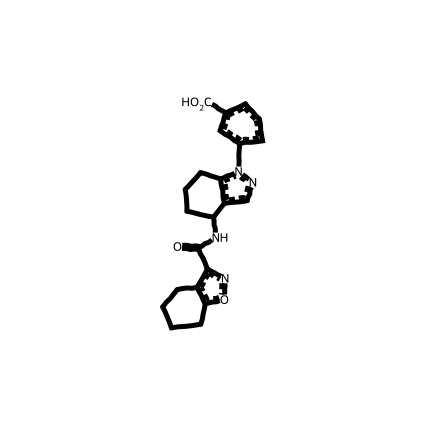 O=C(O)c1cccc(-n2ncc3c2CCCC3NC(=O)c2noc3c2CCCC3)c1